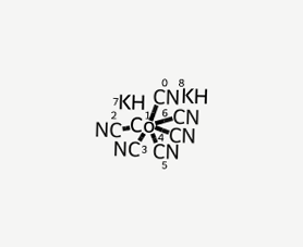 N#[C][Co]([C]#N)([C]#N)([C]#N)([C]#N)[C]#N.[KH].[KH]